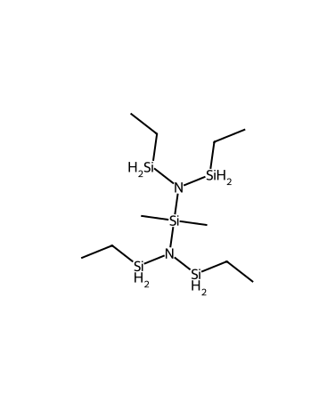 CC[SiH2]N([SiH2]CC)[Si](C)(C)N([SiH2]CC)[SiH2]CC